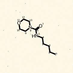 [CH2]CCCCNC(=O)N1CCOCC1